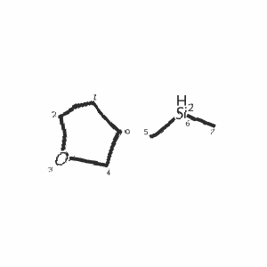 C1CCOC1.C[SiH2]C